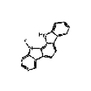 Fn1c2ccccc2c2ccc3c4ccccc4[nH]c3c21